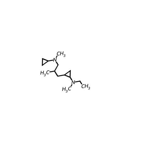 CCN(C)C1CC1CC(C)CN(C)C1CC1